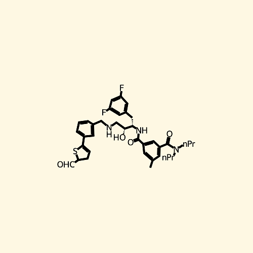 CCCN(CCC)C(=O)c1cc(C)cc(C(=O)N[C@@H](Cc2cc(F)cc(F)c2)[C@H](O)CNCc2cccc(C3=CCC(C=O)S3)c2)c1